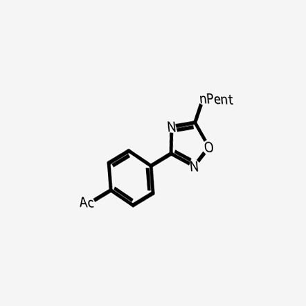 CCCCCc1nc(-c2ccc(C(C)=O)cc2)no1